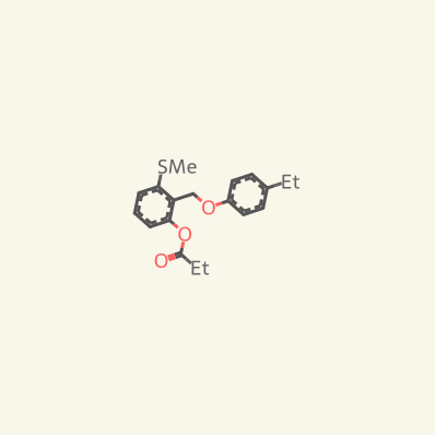 CCC(=O)Oc1cccc(SC)c1COc1ccc(CC)cc1